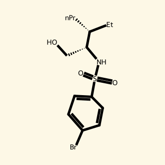 CCC[C@H](CC)[C@@H](CO)NS(=O)(=O)c1ccc(Br)cc1